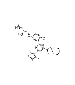 CNC[C@@H](O)COc1ccc(Cl)c(-c2nc(-c3c(C)noc3C)cc(N3CC4(CCCCC4)C3)n2)c1